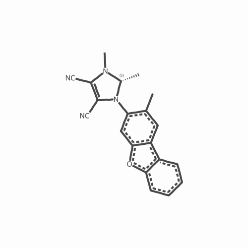 Cc1cc2c(cc1N1C(C#N)=C(C#N)N(C)[C@@H]1C)oc1ccccc12